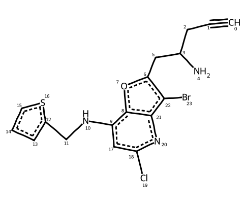 C#CCC(N)Cc1oc2c(NCc3cccs3)cc(Cl)nc2c1Br